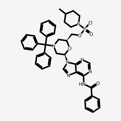 CC1CCN(P(=O)(Cl)OC[C@@H]2CN(C(c3ccccc3)(c3ccccc3)c3ccccc3)C[C@H](n3cnc4c(NC(=O)c5ccccc5)ncnc43)O2)CC1